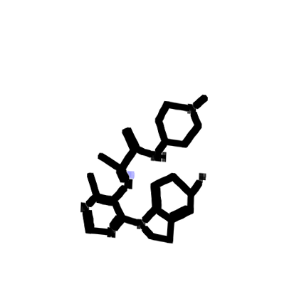 C=C(NC1CCN(C)CC1)/C(C)=N/c1c(C)ncnc1N1CCC2=CC(F)CC=C21